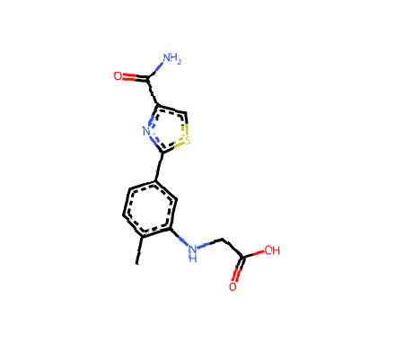 Cc1ccc(-c2nc(C(N)=O)cs2)cc1NCC(=O)O